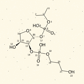 CC(C)OP(=O)(O)O[C@H]1OC[C@H](O)[C@@H]1OP(=O)(O)OCCCO